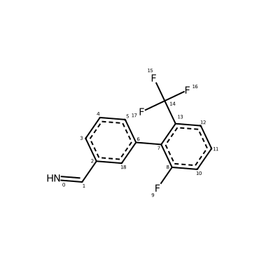 N=Cc1cccc(-c2c(F)cccc2C(F)(F)F)c1